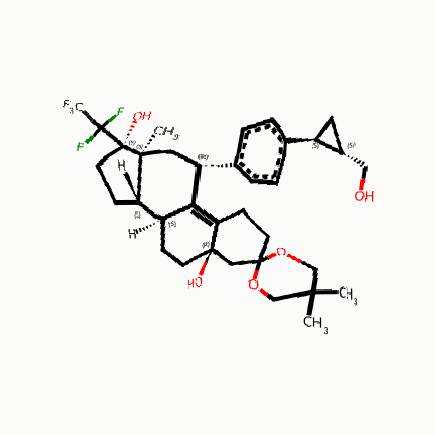 CC1(C)COC2(CCC3=C4[C@@H](CC[C@@]3(O)C2)[C@@H]2CC[C@@](O)(C(F)(F)C(F)(F)F)[C@@]2(C)C[C@@H]4c2ccc([C@H]3C[C@@H]3CO)cc2)OC1